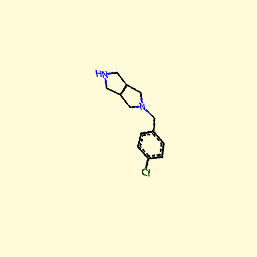 Clc1ccc(CN2CC3CNCC3C2)cc1